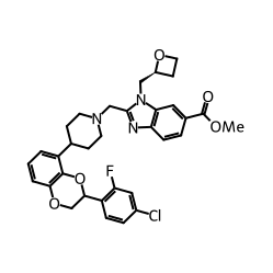 COC(=O)c1ccc2nc(CN3CCC(c4cccc5c4OC(c4ccc(Cl)cc4F)CO5)CC3)n(C[C@@H]3CCO3)c2c1